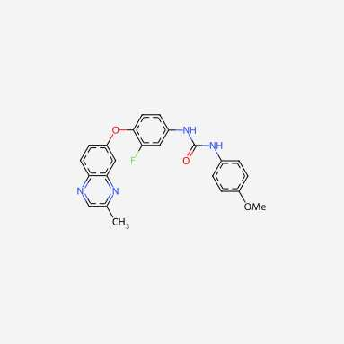 COc1ccc(NC(=O)Nc2ccc(Oc3ccc4ncc(C)nc4c3)c(F)c2)cc1